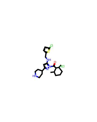 CC1CCCC(C)C1C(=O)n1nc(C2CCNCC2)cc1NCc1ccc(Cl)s1.Cl